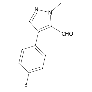 Cn1ncc(-c2ccc(F)cc2)c1C=O